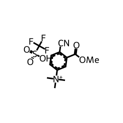 COC(=O)c1cc([N+](C)(C)C)ccc1C#N.O=S(=O)(O)C(F)(F)F